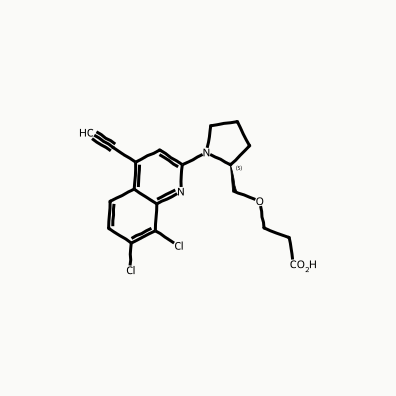 C#Cc1cc(N2CCC[C@H]2COCCC(=O)O)nc2c(Cl)c(Cl)ccc12